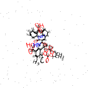 CCOC(=O)OC(C)c1ccc(C(=O)O)c(NC(=O)C(=Cc2ccccc2)C(=O)Nc2ccccc2C(=O)O)c1C(C)OC(=O)OCC